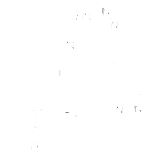 CS(=O)(=O)c1ccc(Cn2cc(Cc3cc(I)nc4[nH]nnc34)cn2)cc1